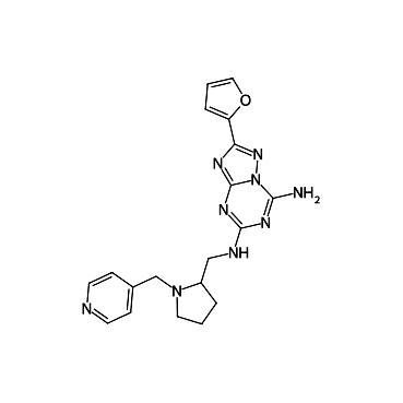 Nc1nc(NCC2CCCN2Cc2ccncc2)nc2nc(-c3ccco3)nn12